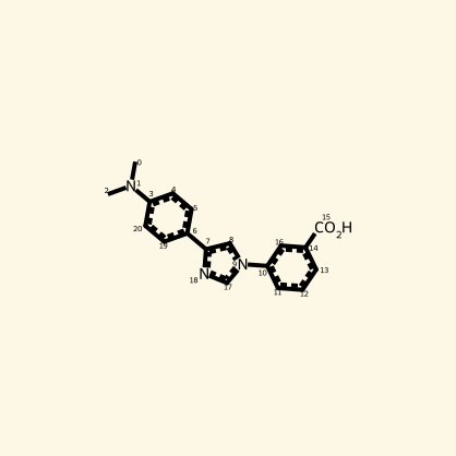 CN(C)c1ccc(-c2cn(-c3cccc(C(=O)O)c3)cn2)cc1